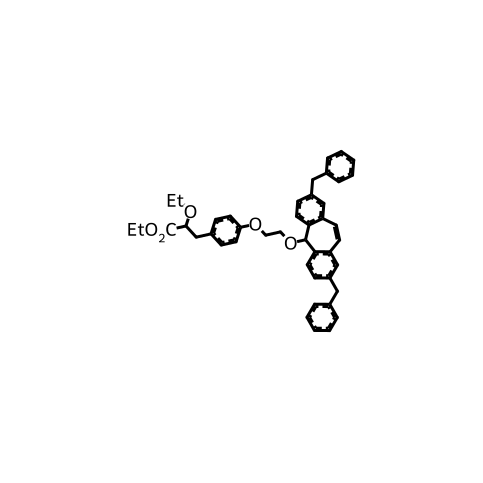 CCOC(=O)C(Cc1ccc(OCCOC2c3ccc(Cc4ccccc4)cc3C=Cc3cc(Cc4ccccc4)ccc32)cc1)OCC